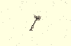 C=C(C)COCCCCCCC[Si](Br)(Br)Br